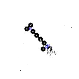 C=C/C=C\c1nc(-c2ccc(-c3ccc(-c4ccc(-c5ccc(-n6c7ccccc7c7ccccc76)cc5)cc4)cc3)cc2)n(-c2ccccc2)c1C